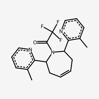 Cc1cccnc1C1CC=CCC(c2ncccc2C)N1C(=O)C(F)(F)F